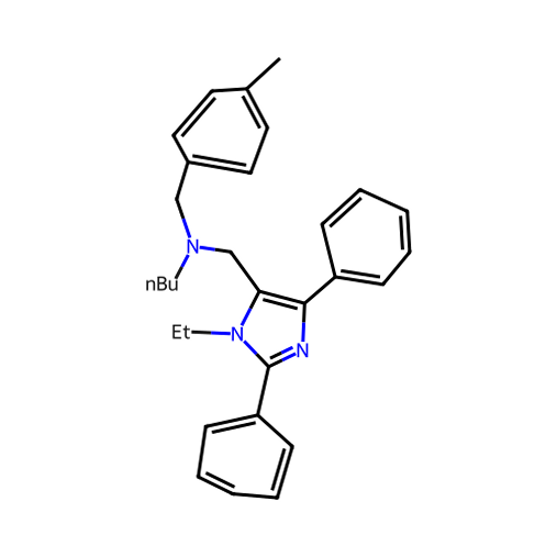 CCCCN(Cc1ccc(C)cc1)Cc1c(-c2ccccc2)nc(-c2ccccc2)n1CC